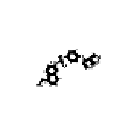 O=C(Nc1ccc(Oc2ccnc3[nH]ncc23)cc1)Nc1ccc2c(CCF)cccc2c1